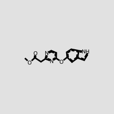 COC(=O)Cc1nccc(Oc2ccc3[nH]ccc3c2)n1